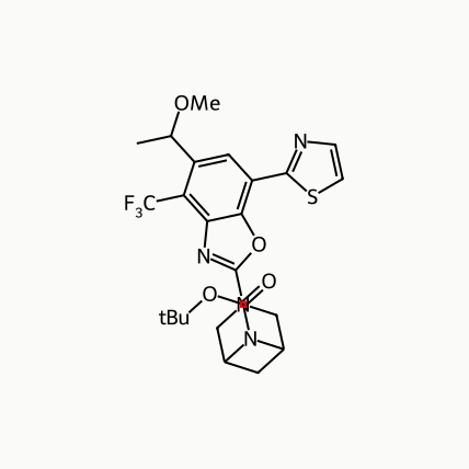 COC(C)c1cc(-c2nccs2)c2oc(N3CC4CC(C3)N4C(=O)OC(C)(C)C)nc2c1C(F)(F)F